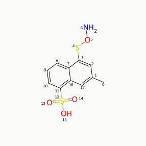 Cc1cc(SON)c2cccc(S(=O)(=O)O)c2c1